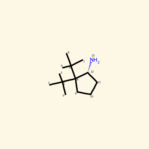 CC(C)(C)C1(C(C)(C)C)CCC[C@H]1N